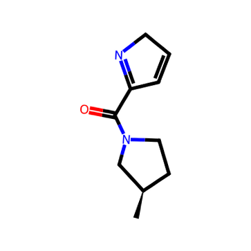 C[C@@H]1CCN(C(=O)C2=NCC=C2)C1